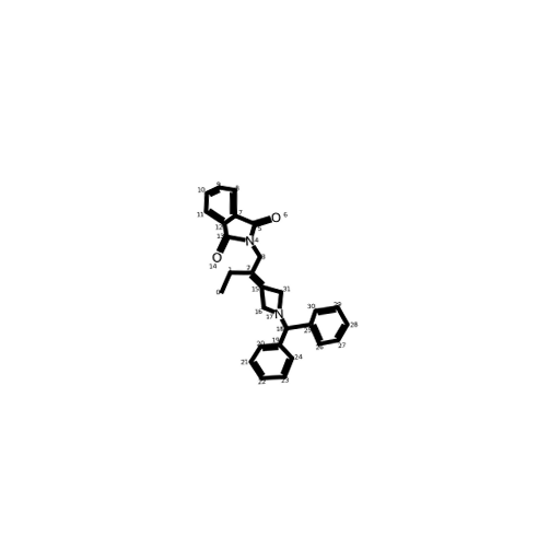 CCC(CN1C(=O)c2ccccc2C1=O)=C1CN(C(c2ccccc2)c2ccccc2)C1